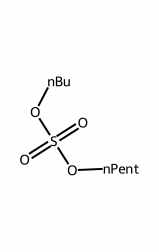 CCCCCOS(=O)(=O)OCCCC